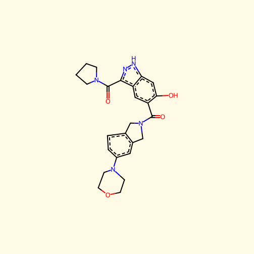 O=C(c1cc2c(C(=O)N3CCCC3)n[nH]c2cc1O)N1Cc2ccc(N3CCOCC3)cc2C1